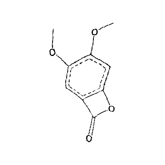 COc1cc2c(cc1OC)C(=O)O2